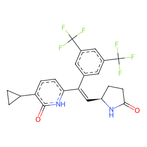 O=C1CC[C@H](/C=C(\c2cc(C(F)(F)F)cc(C(F)(F)F)c2)c2ccc(C3CC3)c(=O)[nH]2)N1